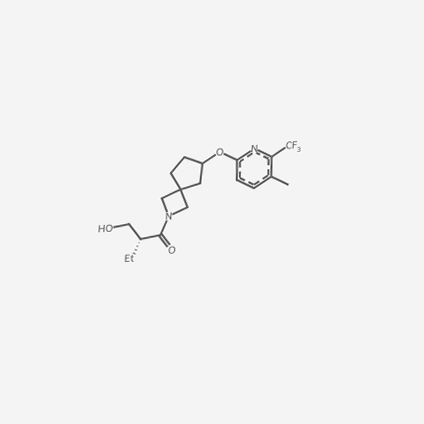 CC[C@H](CO)C(=O)N1CC2(CCC(Oc3ccc(C)c(C(F)(F)F)n3)C2)C1